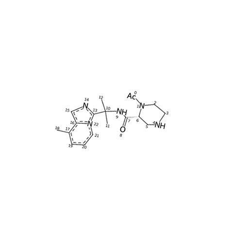 CC(=O)N1CCNC[C@@H]1C(=O)NC(C)(C)c1ncc2c(C)cccn12